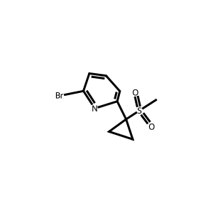 CS(=O)(=O)C1(c2cccc(Br)n2)CC1